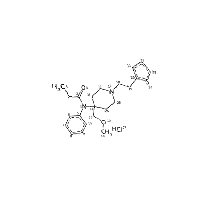 CCC(=O)N(c1ccccc1)C1(COC)CCN(CCc2cccs2)CC1.Cl